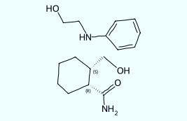 NC(=O)[C@@H]1CCCC[C@@H]1CO.OCCNc1ccccc1